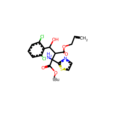 C=CCOC(=O)C(C(O)c1c(Cl)cccc1Cl)C(N)(C(=O)OC(C)(C)C)c1nccs1